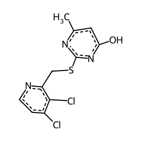 Cc1cc(O)nc(SCc2nccc(Cl)c2Cl)n1